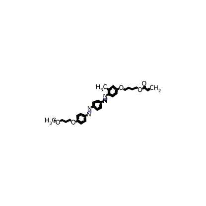 C=CC(=O)OCCCCOc1ccc(/N=N/c2ccc(/N=N/c3ccc(OCCCOC)cc3)cc2)c(C)c1